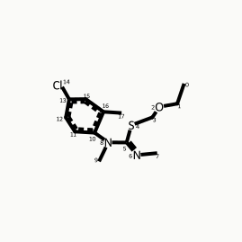 CCOCSC(=NC)N(C)c1ccc(Cl)cc1C